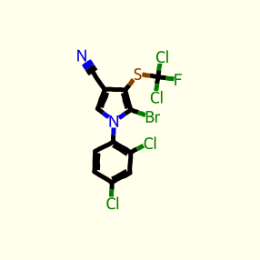 N#Cc1cn(-c2ccc(Cl)cc2Cl)c(Br)c1SC(F)(Cl)Cl